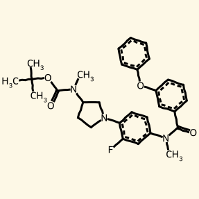 CN(C(=O)c1cccc(Oc2ccccc2)c1)c1ccc(N2CCC(N(C)C(=O)OC(C)(C)C)C2)c(F)c1